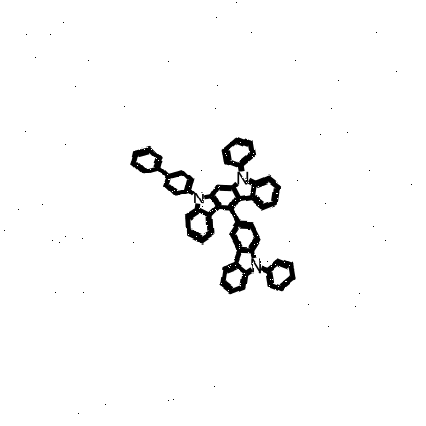 c1ccc(-c2ccc(-n3c4ccccc4c4c(-c5ccc6c(c5)c5ccccc5n6-c5ccccc5)c5c6ccccc6n(-c6ccccc6)c5cc43)cc2)cc1